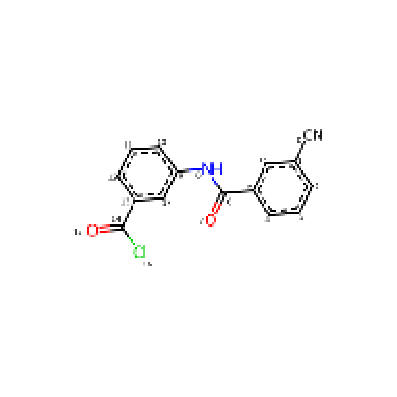 N#Cc1cccc(C(=O)Nc2cccc(C(=O)Cl)c2)c1